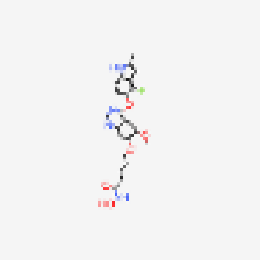 COc1cc2c(Oc3ccc4[nH]c(C)cc4c3F)ncnc2cc1OCCCCC(=O)NO